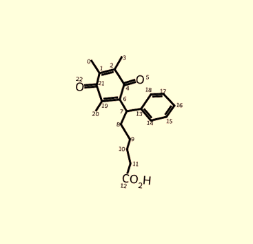 CC1=C(C)C(=O)C(C(CCCCC(=O)O)c2ccccc2)=C(C)C1=O